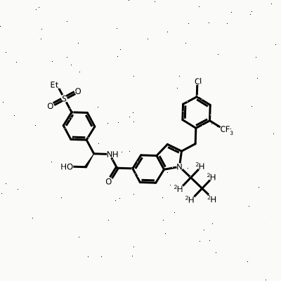 [2H]C([2H])([2H])C([2H])([2H])n1c(Cc2ccc(Cl)cc2C(F)(F)F)cc2cc(C(=O)N[C@@H](CO)c3ccc(S(=O)(=O)CC)cc3)ccc21